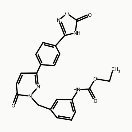 CCOC(=O)Nc1cccc(Cn2nc(-c3ccc(-c4noc(=O)[nH]4)cc3)ccc2=O)c1